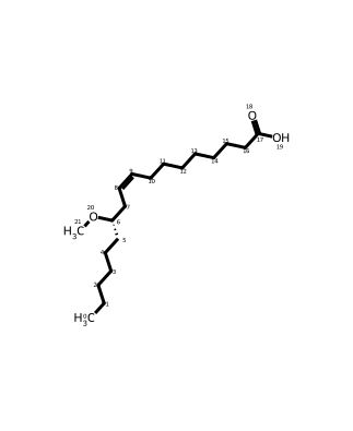 CCCCCC[C@@H](C/C=C\CCCCCCCC(=O)O)OC